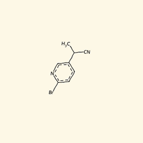 CC(C#N)c1ccc(Br)nc1